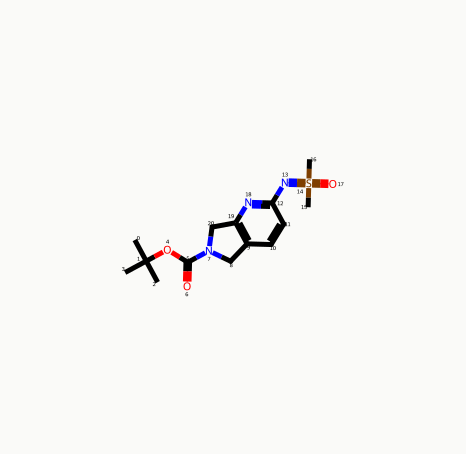 CC(C)(C)OC(=O)N1Cc2ccc(N=S(C)(C)=O)nc2C1